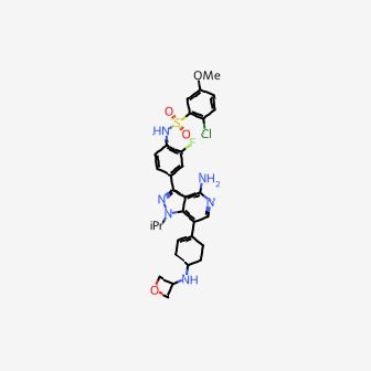 COc1ccc(Cl)c(S(=O)(=O)Nc2ccc(-c3nn(C(C)C)c4c(C5=CCC(NC6COC6)CC5)cnc(N)c34)cc2F)c1